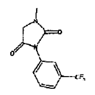 CN1CC(=O)N(c2cccc(C(F)(F)F)c2)C1=O